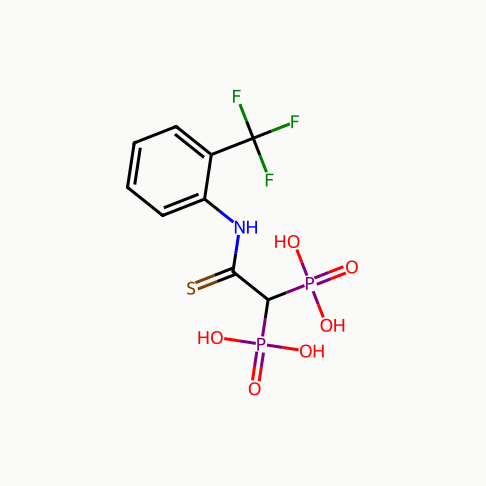 O=P(O)(O)C(C(=S)Nc1ccccc1C(F)(F)F)P(=O)(O)O